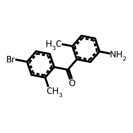 Cc1cc(Br)ccc1C(=O)c1cc(N)ccc1C